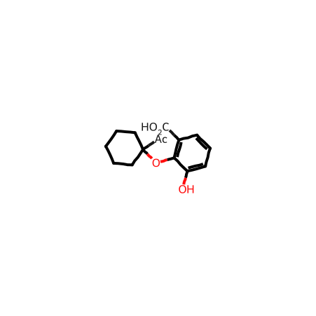 CC(=O)C1(Oc2c(O)cccc2C(=O)O)CCCCC1